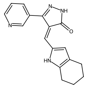 O=C1NN=C(c2cccnc2)C1=Cc1cc2c([nH]1)CCCC2